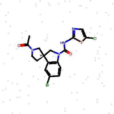 CC(=O)N1CC[C@@]2(C1)CN(C(=O)Nc1ncc(Cl)s1)c1ccc(Br)cc12